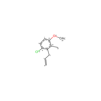 C=CCc1c(Cl)ccc(OOC(C)=O)c1C